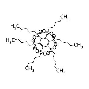 CCCCCS(=O)(=O)c1c(S(=O)(=O)CCCCC)c(S(=O)(=O)CCCCC)c(S(=O)(=O)CCCCC)c(S(=O)(=O)CCCCC)c1S(=O)(=O)CCCCC